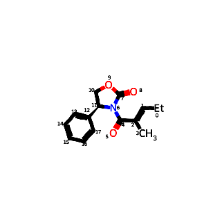 CCC=C(C)C(=O)N1C(=O)OC[C@@H]1c1ccccc1